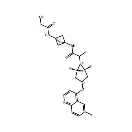 CC(C(=O)NC12CC(NC(=O)CC#N)(C1)C2)[C@H]1[C@@H]2C[C@@H](Oc3ccnc4ccc(F)cc34)C[C@@H]21